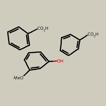 COc1cccc(O)c1.O=C(O)c1ccccc1.O=C(O)c1ccccc1